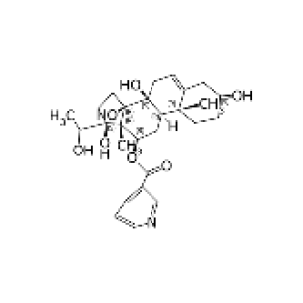 CC(O)[C@]1(O)CC[C@@]2(O)[C@]1(C)[C@H](OC(=O)c1cccnc1)C[C@@H]1[C@@]3(C)CC[C@H](O)CC3=CC[C@]12O